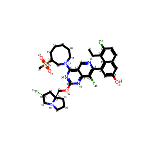 CCc1c(F)ccc2cc(O)cc(-c3ncc4c(N5CCCCCC(S(C)(=O)=O)C5)nc(OC[C@@]56CCCN5C[C@H](F)C6)nc4c3F)c12